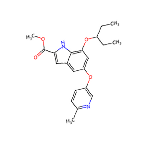 CCC(CC)Oc1cc(Oc2ccc(C)nc2)cc2cc(C(=O)OC)[nH]c12